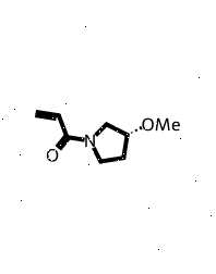 C=CC(=O)N1CC[C@@H](OC)C1